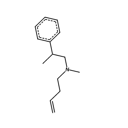 C=CCCN(C)CC(C)c1ccccc1